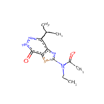 CCN(C(C)=O)c1nc2c(C(C)C)n[nH]c(=O)c2s1